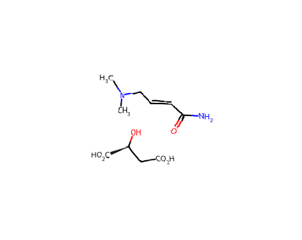 CN(C)CC=CC(N)=O.O=C(O)C[C@H](O)C(=O)O